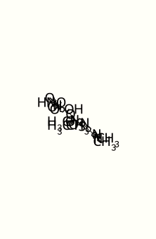 CN(C)c1ccc(-c2ccc(-c3nc4ccc(N(CCOCC(O)c5ccc6c(c5)C(=O)N(C5CCC(=O)NC5=O)C6=O)C(=O)OC(C)(C)C)cc4s3)cc2)cn1